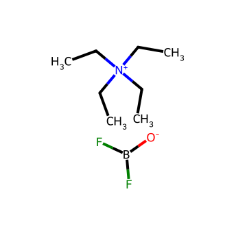 CC[N+](CC)(CC)CC.[O-]B(F)F